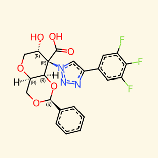 O=C(O)[C@@]1(n2cc(-c3cc(F)c(F)c(F)c3)nn2)[C@@H](O)CO[C@@H]2CO[C@H](c3ccccc3)O[C@@H]21